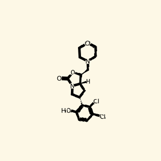 O=C1O[C@@H](CN2CCOCC2)[C@@H]2C[C@H](c3c(O)ccc(Cl)c3Cl)CN12